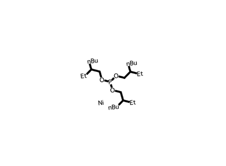 CCCCC(CC)COP(OCC(CC)CCCC)OCC(CC)CCCC.[Ni]